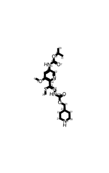 COc1cc(NC(=O)OC(C)C)cnc1/C(=N/NC(=O)OCC1CCNCC1)SC